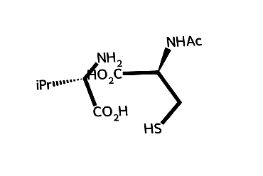 CC(=O)N[C@@H](CS)C(=O)O.CC(C)[C@H](N)C(=O)O